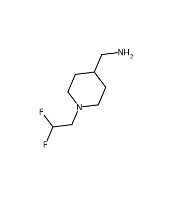 NCC1CCN(CC(F)F)CC1